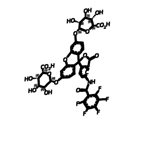 O=C1OC2(c3ccc(O[C@@H]4O[C@H](C(=O)O)[C@@H](O)[C@H](O)[C@H]4O)cc3Oc3cc(O[C@@H]4O[C@H](C(=O)O)[C@@H](O)[C@H](O)[C@H]4O)ccc32)c2ccc(NC(=O)c3c(F)c(F)c(F)c(F)c3F)cc21